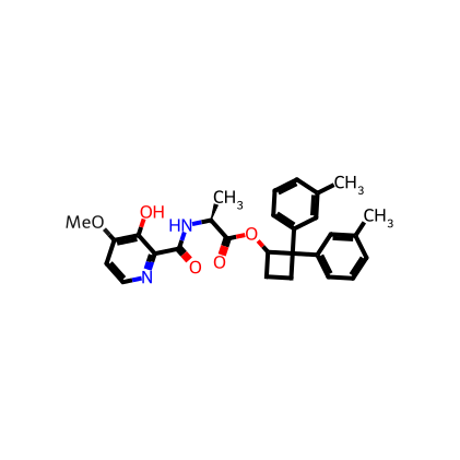 COc1ccnc(C(=O)N[C@@H](C)C(=O)OC2CCC2(c2cccc(C)c2)c2cccc(C)c2)c1O